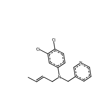 CC=CCN(Cc1cccnc1)c1ccc(Cl)c(Cl)c1